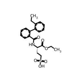 CCOC(=O)[C@H](CCS(=O)(=O)O)NC(=O)c1ccccc1-c1ccccc1CC